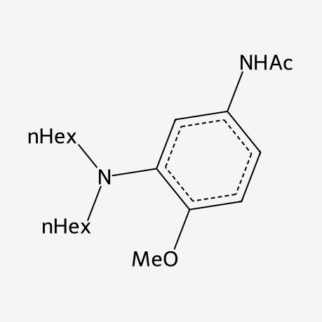 CCCCCCN(CCCCCC)c1cc(NC(C)=O)ccc1OC